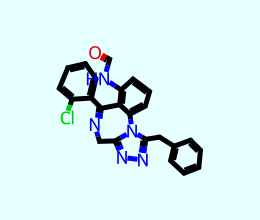 O=CNc1cccc2c1C(c1ccccc1Cl)=NCc1nnc(Cc3ccccc3)n1-2